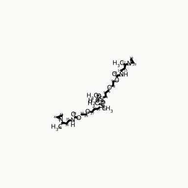 CO[Si](C)(CCCOCCOC(=O)NCCC(C)N1CC1)O[Si](C)(C)CCCOCCOC(=O)NCCC(C)N1CC1